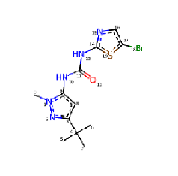 Cn1nc(C(C)(C)C)cc1NC(=O)Nc1ncc(Br)s1